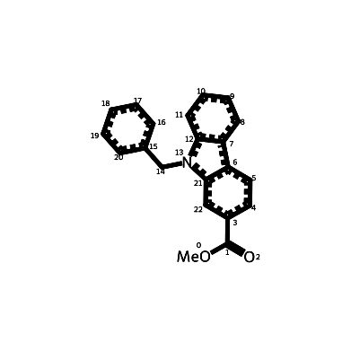 COC(=O)c1ccc2c3ccccc3n(Cc3ccccc3)c2c1